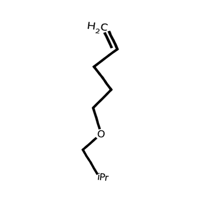 C=CCCCOCC(C)C